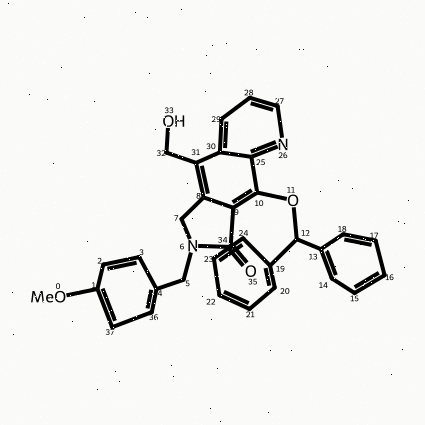 COc1ccc(CN2Cc3c(c(OC(c4ccccc4)c4ccccc4)c4ncccc4c3CO)C2=O)cc1